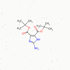 CC(C)(C)OC(=O)c1nc(N)[nH]c1C(=O)OC(C)(C)C